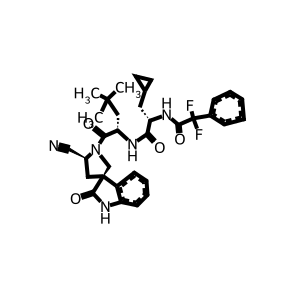 CC(C)(C)C[C@H](NC(=O)[C@H](CC1CC1)NC(=O)C(F)(F)c1ccccc1)C(=O)N1C[C@]2(C[C@H]1C#N)C(=O)Nc1ccccc12